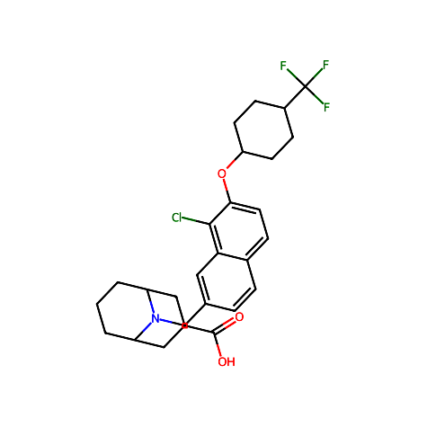 O=C(O)C1CC2CCCC(C1)N2Cc1ccc2ccc(OC3CCC(C(F)(F)F)CC3)c(Cl)c2c1